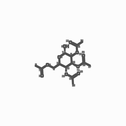 CC(=O)OCC1O[C@H](O)C(OC(C)=O)[C@@H](OC(C)=O)[C@@H]1OC(C)=O